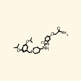 CC(C)Oc1cc(CN2CCC(Nc3nc4cc(OCC(N)=O)ccc4o3)CC2)cc(OC(C)C)c1